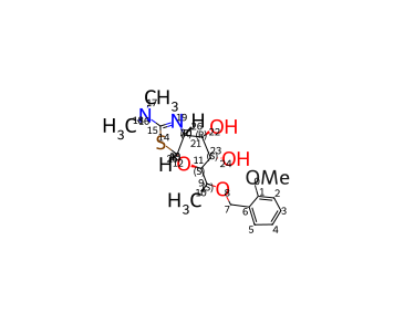 COc1ccccc1CO[C@@H](C)[C@H]1O[C@@H]2SC(N(C)C)=N[C@@H]2[C@@H](O)[C@@H]1O